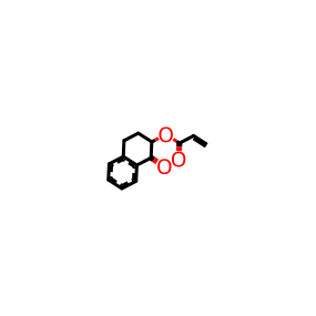 C=CC(=O)OC1CCc2ccccc2C1=O